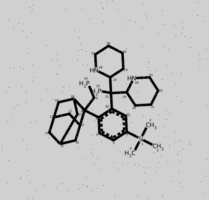 C[Si](C)(C)c1ccc(C2(CP)C3CC4CC(C3)CC2C4)c(C(P)(C2CCCCN2)C2CCCCN2)c1